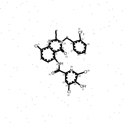 Cc1nc2c(Cl)ccc(NC(=O)c3cc(Cl)c(O)c(Cl)n3)c2c(=O)n1Cc1ccccc1C(F)(F)F